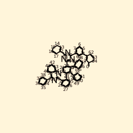 CC1C=C(c2cccc(-c3nc(C4=CCCC=C4)nc(-c4ccc(-c5ccccc5-c5nc(-c6ccccc6)c6ccccc6n5)c(-c5ccccc5)c4-c4ccccc4)n3)c2)C=CC1